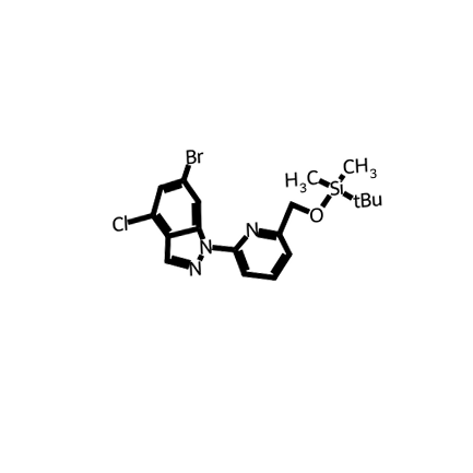 CC(C)(C)[Si](C)(C)OCc1cccc(-n2ncc3c(Cl)cc(Br)cc32)n1